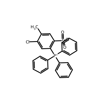 Cc1cc(S(=O)(=O)[O-])c([P+](c2ccccc2)(c2ccccc2)c2ccccc2)cc1Cl